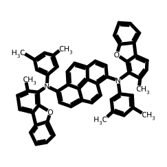 Cc1cc(C)cc(N(c2ccc3ccc4c(N(c5cc(C)cc(C)c5)c5c(C)ccc6c5oc5ccccc56)ccc5ccc2c3c54)c2c(C)ccc3c2oc2ccccc23)c1